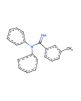 Cc1cccc(C(=N)N(c2ccccc2)c2ccccc2)c1